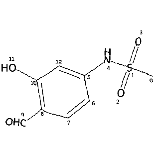 CS(=O)(=O)Nc1ccc(C=O)c(O)c1